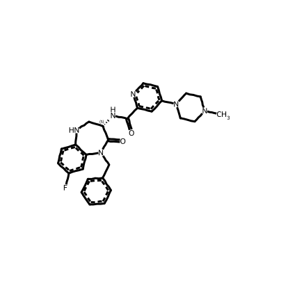 CN1CCN(c2ccnc(C(=O)N[C@H]3CNc4ccc(F)cc4N(Cc4ccccc4)C3=O)c2)CC1